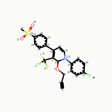 C#CCOC1C(C(F)(F)F)=C(c2ccc(S(C)(=O)=O)cc2)C=CN1c1ccc(F)cc1